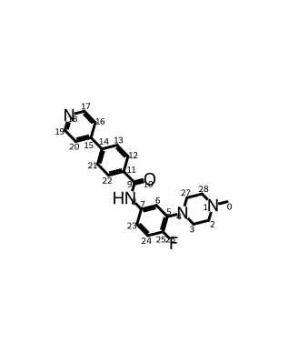 CN1CCN(c2cc(NC(=O)c3ccc(-c4ccncc4)cc3)ccc2F)CC1